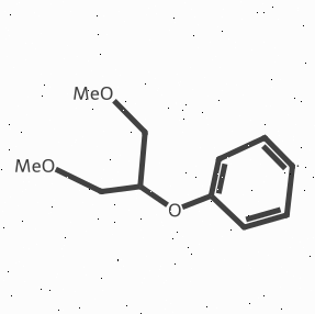 COCC(COC)Oc1cc[c]cc1